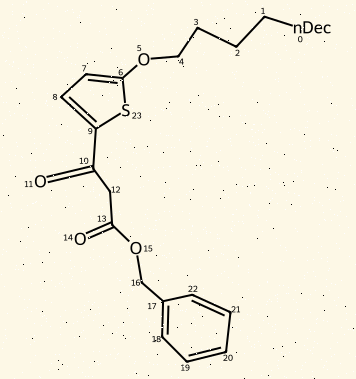 CCCCCCCCCCCCCCOc1ccc(C(=O)CC(=O)OCc2ccccc2)s1